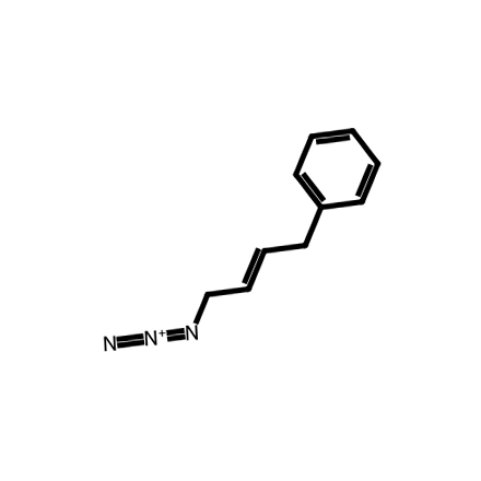 [N-]=[N+]=NC/C=C/Cc1ccccc1